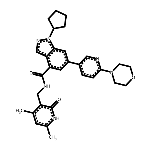 Cc1cc(C)c(CNC(=O)c2cc(-c3ccc(N4CCOCC4)nc3)cc3c2cnn3C2CCCC2)c(=O)[nH]1